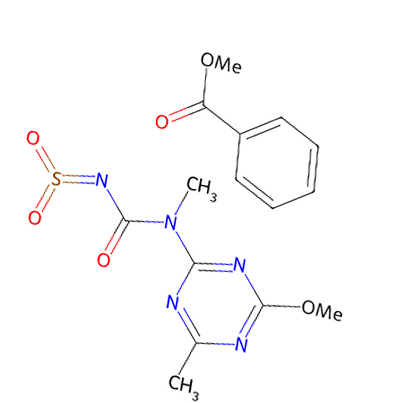 COC(=O)c1ccccc1.COc1nc(C)nc(N(C)C(=O)N=S(=O)=O)n1